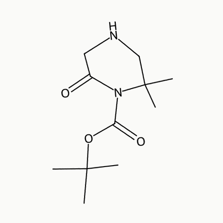 CC(C)(C)OC(=O)N1C(=O)CNCC1(C)C